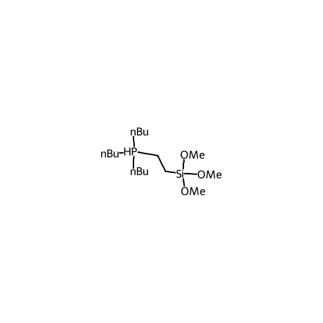 CCCC[PH](CCCC)(CCCC)CC[Si](OC)(OC)OC